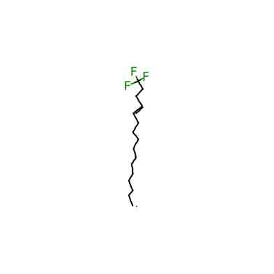 [CH2]CCCCCCCCCC/C=C/CCC(F)(F)F